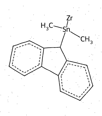 [CH3][Sn]([CH3])([Zr])[CH]1c2ccccc2-c2ccccc21